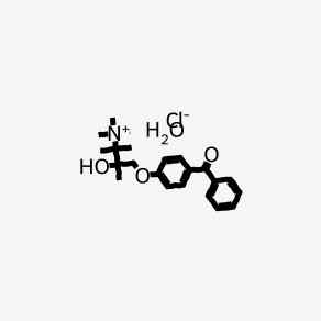 CC(O)(COc1ccc(C(=O)c2ccccc2)cc1)C(C)(C)[N+](C)(C)C.O.[Cl-]